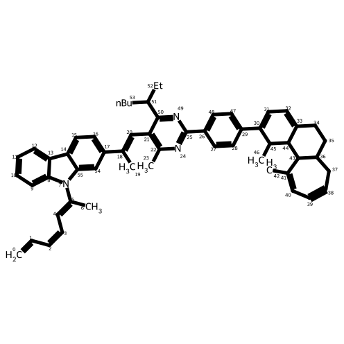 C=C/C=C\C=C(/C)n1c2ccccc2c2ccc(/C(C)=C/c3c(C)nc(-c4ccc(C5=CC=C6CCC7CC#CC=C(C)C7C6C5C)cc4)nc3C(CC)CCCC)cc21